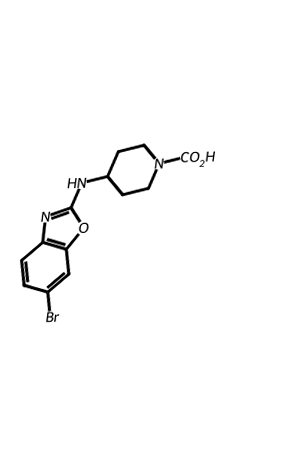 O=C(O)N1CCC(Nc2nc3ccc(Br)cc3o2)CC1